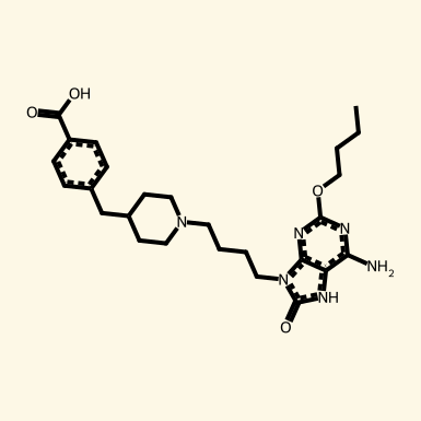 CCCCOc1nc(N)c2[nH]c(=O)n(CCCCN3CCC(Cc4ccc(C(=O)O)cc4)CC3)c2n1